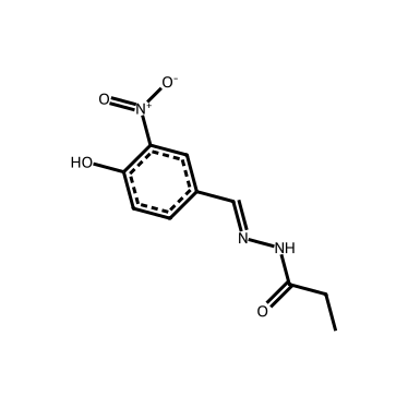 CCC(=O)N/N=C/c1ccc(O)c([N+](=O)[O-])c1